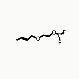 C/C=C/COCCOP(F)F